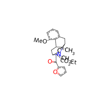 CCOC(=O)C1(C(=O)c2ccco2)C[C@@]2(C)C3CC1N(C)C2Cc1cccc(OC)c13